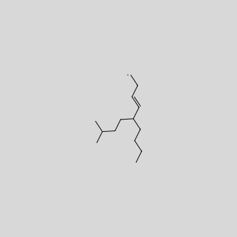 [CH2]CC=CC(CCCC)CCC(C)C